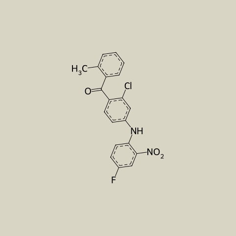 Cc1ccccc1C(=O)c1ccc(Nc2ccc(F)cc2[N+](=O)[O-])cc1Cl